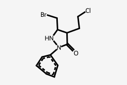 O=C1C(CCCl)C(CBr)NN1c1ccccc1